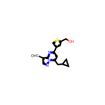 O=Cc1cnn2c(CC3CC3)cc(-c3csc(CO)c3)nc12